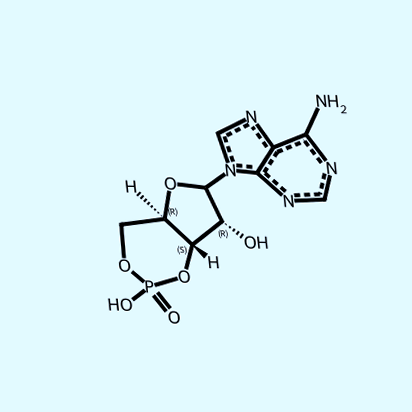 Nc1ncnc2c1ncn2C1O[C@@H]2COP(=O)(O)O[C@H]2[C@H]1O